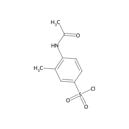 CC(=O)Nc1ccc(S(=O)(=O)Cl)cc1C